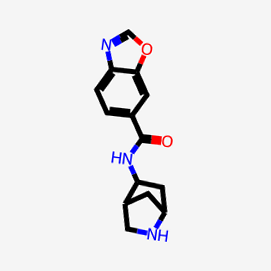 O=C(NC1CC2CC1CN2)c1ccc2ncoc2c1